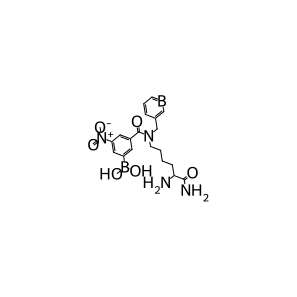 NC(=O)C(N)CCCCN(Cc1cbccc1)C(=O)c1cc(B(O)O)cc([N+](=O)[O-])c1